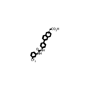 O=C(O)C[C@@H]1CCc2cc(-c3ccc(NC(=O)Nc4cccc(C(F)(F)F)c4)cc3)ccc2C1